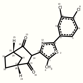 Cc1sc(-c2ccc(Cl)c(Cl)c2)nc1C1C(=O)[C@@H]2CC[C@@H](C2)C1=O